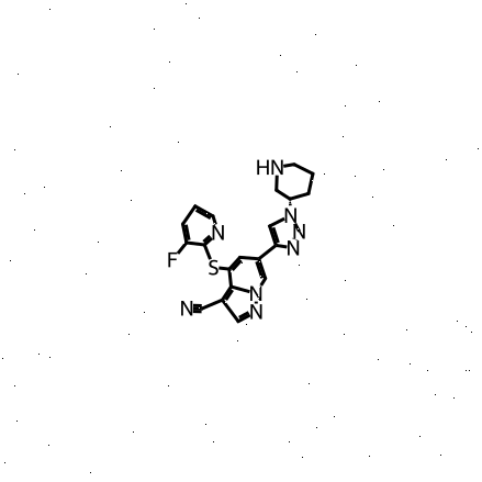 N#Cc1cnn2cc(-c3cn([C@H]4CCCNC4)nn3)cc(Sc3ncccc3F)c12